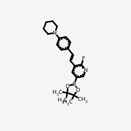 CC1(C)OB(c2cnc(F)c(/C=C/c3ccc(N4CCCCC4)cc3)c2)OC1(C)C